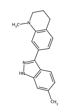 Cc1ccc2c(-c3ccc4c(c3)N(C)CCC4)n[nH]c2c1